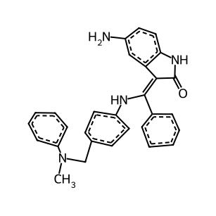 CN(Cc1ccc(NC(=C2C(=O)Nc3ccc(N)cc32)c2ccccc2)cc1)c1ccccc1